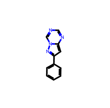 c1ccc(-c2cc3ncncn3n2)cc1